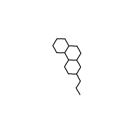 CCCC1CCC2C(CCC3CCCCC32)C1